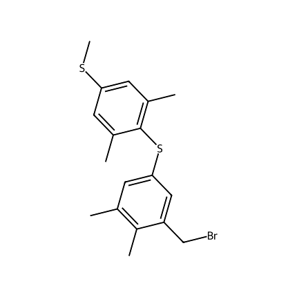 CSc1cc(C)c(Sc2cc(C)c(C)c(CBr)c2)c(C)c1